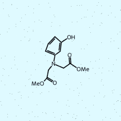 COC(=O)CN(CC(=O)OC)c1cccc(O)c1